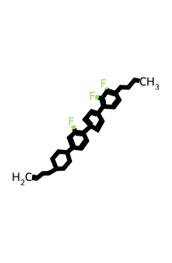 C=CCCC1CCC(c2ccc(-c3ccc(-c4ccc(CCCC)c(F)c4F)cc3)c(F)c2)CC1